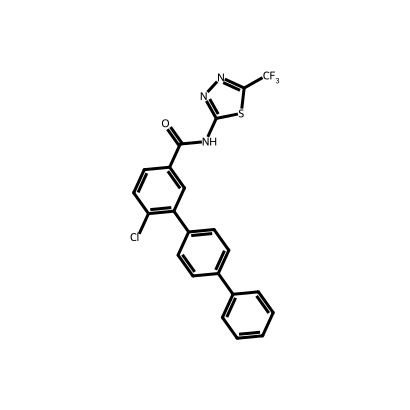 O=C(Nc1nnc(C(F)(F)F)s1)c1ccc(Cl)c(-c2ccc(-c3ccccc3)cc2)c1